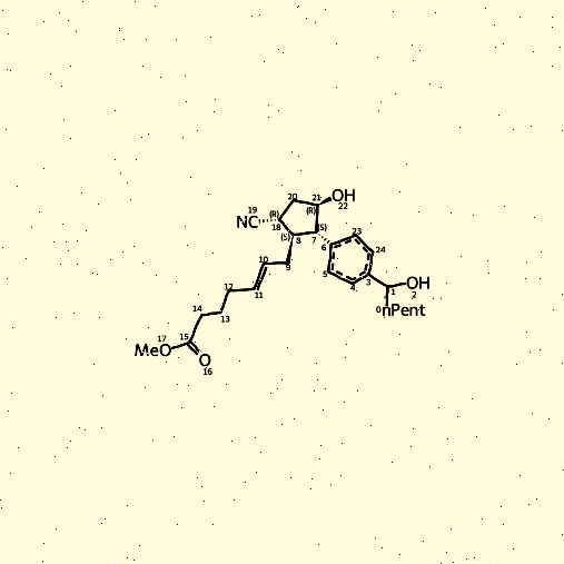 CCCCCC(O)c1ccc([C@@H]2[C@@H](CC=CCCCC(=O)OC)[C@H](C#N)C[C@H]2O)cc1